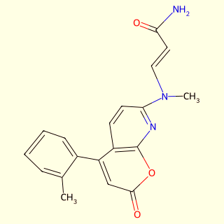 Cc1ccccc1-c1cc(=O)oc2nc(N(C)C=CC(N)=O)ccc12